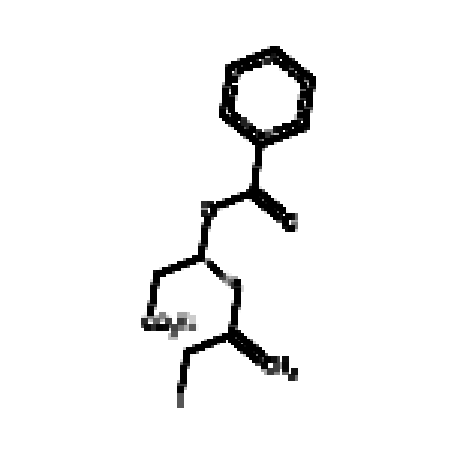 C=C(CI)C[C@H](CC(=O)OCC)OC(=O)c1ccccc1